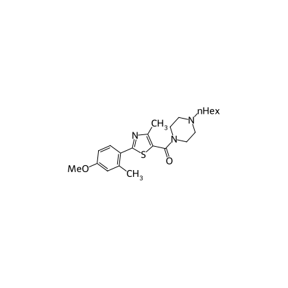 CCCCCCN1CCN(C(=O)c2sc(-c3ccc(OC)cc3C)nc2C)CC1